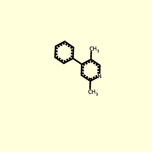 Cc1cc(-c2ccccc2)c(C)cn1